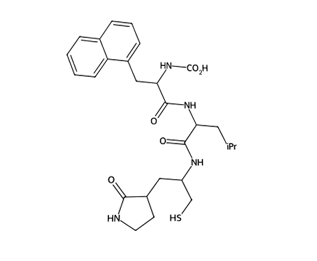 CC(C)CC(NC(=O)C(Cc1cccc2ccccc12)NC(=O)O)C(=O)NC(CS)CC1CCNC1=O